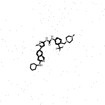 CN1CCN(Cc2ccc(NC(=O)Nc3cc(-c4ccc5cc(NC6CCCCC6)ncc5c4)n(C)n3)cc2C(F)(F)F)CC1